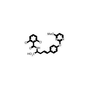 COc1ccnc(Oc2ccc(C=CCC(NC(=O)c3c(Cl)cccc3Cl)C(=O)O)cc2)n1